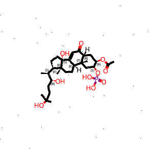 CC(=O)O[C@@H]1C[C@H]2C(=O)C=C3[C@H](CC[C@]4(C)[C@@H]([C@H](C)[C@H](O)CCC(C)(C)O)CC[C@@]34O)[C@@]2(C)C[C@@H]1OP(=O)(O)O